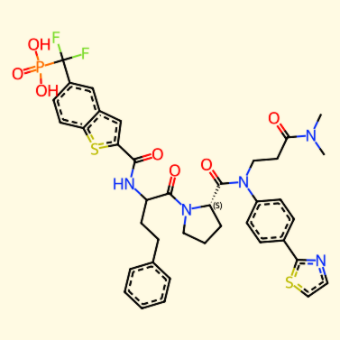 CN(C)C(=O)CCN(C(=O)[C@@H]1CCCN1C(=O)C(CCc1ccccc1)NC(=O)c1cc2cc(C(F)(F)P(=O)(O)O)ccc2s1)c1ccc(-c2nccs2)cc1